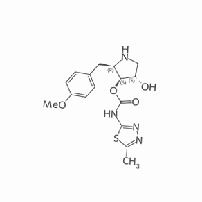 COc1ccc(C[C@H]2NC[C@H](O)[C@H]2OC(=O)Nc2nnc(C)s2)cc1